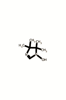 CC1(C)N=CN(O)C1(C)C